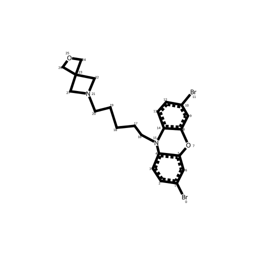 Brc1ccc2c(c1)Oc1cc(Br)ccc1N2CCCCCN1CC2(COC2)C1